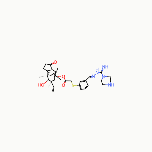 C=C[C@]1(C)C[C@@H](OC(=O)CSc2cccc(/C=N/NC(=N)N3CCNCC3)c2)[C@]2(C)C(C)CCC3(CCC(=O)C32)[C@@H](C)[C@@H]1O